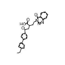 CCc1ccc(-c2ccc(C(=O)CC(CCn3nnc4ccccc4c3=O)C(=O)O)cc2)cc1